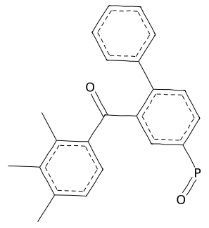 Cc1ccc(C(=O)c2cc(P=O)ccc2-c2ccccc2)c(C)c1C